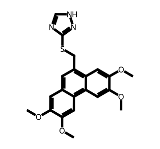 COc1cc2cc(CSc3nc[nH]n3)c3cc(OC)c(OC)cc3c2cc1OC